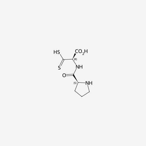 O=C(O)[C@@H](NC(=O)[C@@H]1CCCN1)C(=S)S